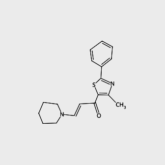 Cc1nc(-c2ccccc2)sc1C(=O)C=CN1CCCCC1